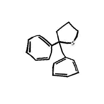 c1ccc(C2(c3ccccc3)CCCS2)cc1